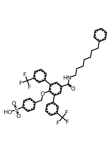 O=C(NCCCCCCCc1ccccc1)c1cc(-c2cccc(C(F)(F)F)c2)c(OCc2ccc(S(=O)(=O)O)cc2)c(-c2cccc(C(F)(F)F)c2)c1